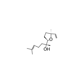 C=C[C@]1(C)CC[C@H]([C@](C)(O)CCC=C(C)C)O1